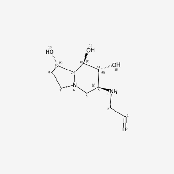 C=CCN[C@H]1CN2CC[C@H](O)C2[C@@H](O)[C@@H]1O